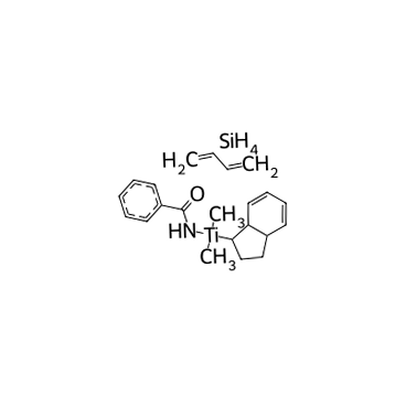 C=CC=C.[CH3][Ti]([CH3])([NH]C(=O)c1ccccc1)[CH]1CCC2C=CC=CC21.[SiH4]